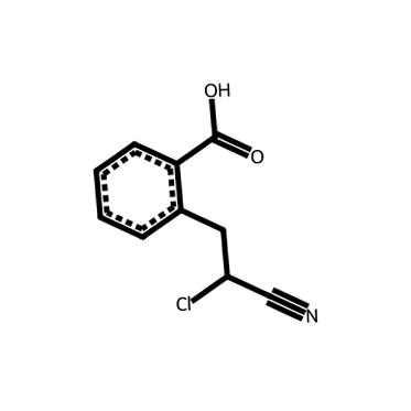 N#CC(Cl)Cc1ccccc1C(=O)O